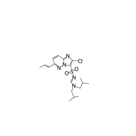 CC=Cc1ccc2nc(Cl)c(S(=O)(=O)N=CN(CC(C)C)CC(C)C)n2n1